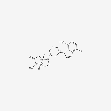 Cc1ccc(F)c2ccn([C@@H]3CCC[C@@H](N4CC[C@H]5[C@@H]4CC(=O)N5C)C3)c12